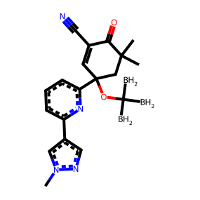 BC(B)(B)OC1(c2cccc(-c3cnn(C)c3)n2)C=C(C#N)C(=O)C(C)(C)C1